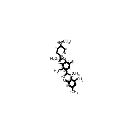 Cc1cc(C)c(N(C)C(=O)c2cc(Br)c3c(c2C)O[C@@](C)([C@H]2CC[C@H](NC(=O)O)CC2)O3)c(=O)[nH]1